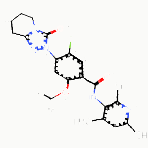 Cc1cc(C)c(NC(=O)c2cc(F)c(-n3nc4n(c3=O)CCCC4)cc2O[C@@H](C)C(F)(F)F)c(C)n1